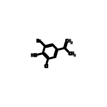 C=C(C)c1cc(Cl)c(O)c(Br)c1